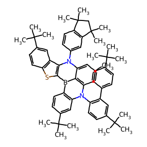 Cc1cc2c3c(c1)N(c1ccc4c(c1)C(C)(C)CC4(C)C)c1c(sc4ccc(C(C)(C)C)cc14)B3c1ccc(C(C)(C)C)cc1N2c1ccc(C(C)(C)C)cc1-c1ccc(C(C)(C)C)cc1